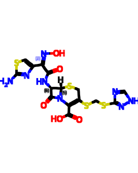 Nc1nc(/C(=N/O)C(=O)N[C@@H]2C(=O)N3C(C(=O)O)=C(SCSc4nc[nH]n4)CS[C@@H]23)cs1